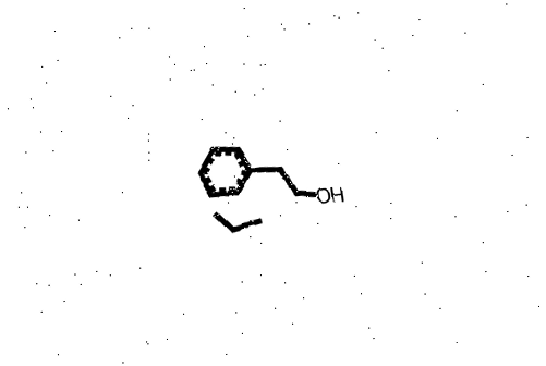 CCC.OCCc1ccccc1